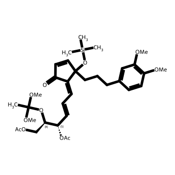 COc1ccc(CCCC2(O[Si](C)(C)C)C=CC(=O)C2=CC=C[C@H](OC(C)=O)[C@@H](COC(C)=O)OC(C)(OC)OC)cc1OC